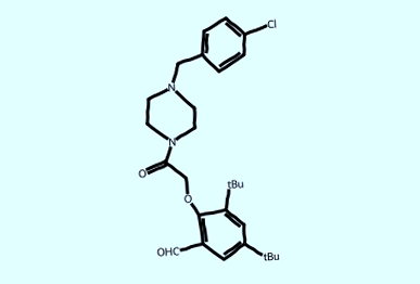 CC(C)(C)c1cc(C=O)c(OCC(=O)N2CCN(Cc3ccc(Cl)cc3)CC2)c(C(C)(C)C)c1